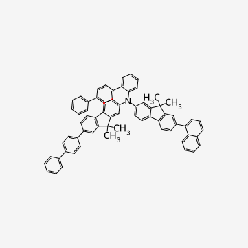 CC1(C)c2cc(-c3ccc(-c4ccccc4)cc3)ccc2-c2ccc(N(c3ccc4c(c3)C(C)(C)c3cc(-c5cccc6ccccc56)ccc3-4)c3ccccc3-c3ccc(-c4ccccc4)cc3)cc21